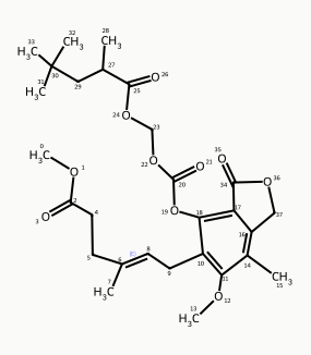 COC(=O)CC/C(C)=C/Cc1c(OC)c(C)c2c(c1OC(=O)OCOC(=O)C(C)CC(C)(C)C)C(=O)OC2